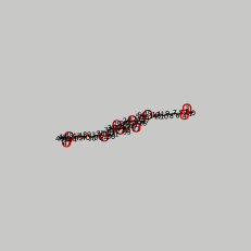 C=CC(=O)OCCCCCCCCCCOc1ccc(C(=O)Oc2ccc(OC(=O)c3ccc(OCCCCCCCCCCOC(=O)C=C)cc3)c(C)c2)cc1